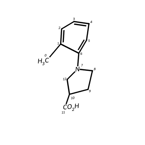 Cc1ccccc1N1CCC(C(=O)O)C1